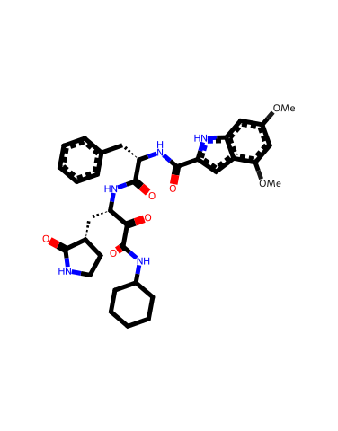 COc1cc(OC)c2cc(C(=O)N[C@@H](Cc3ccccc3)C(=O)N[C@@H](C[C@@H]3CCNC3=O)C(=O)C(=O)NC3CCCCC3)[nH]c2c1